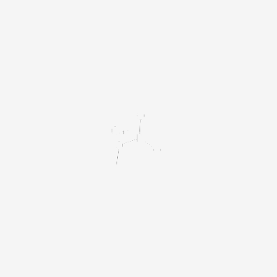 COP([O-])[O-].[Ca+2]